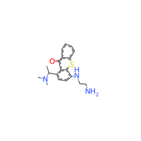 CC(c1ccc(NCCN)c2sc3ccccc3c(=O)c12)N(C)C